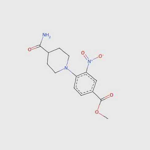 COC(=O)c1ccc(N2CCC(C(N)=O)CC2)c([N+](=O)[O-])c1